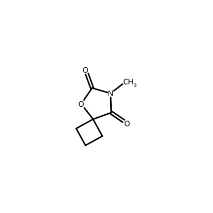 CN1C(=O)OC2(CCC2)C1=O